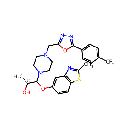 Cc1nc2cc(OC([C@@H](C)O)N3CCN(Cc4nnc(-c5ccc(C(F)(F)F)cc5)o4)CC3)ccc2s1